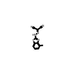 Cc1cccc2sc(NN=C(C#N)C#N)nc12